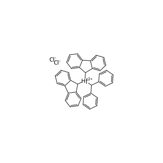 [Cl-].[Cl-].c1ccc([CH](c2ccccc2)[Hf+2]([CH]2c3ccccc3-c3ccccc32)[CH]2c3ccccc3-c3ccccc32)cc1